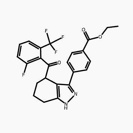 CCOC(=O)c1ccc(-c2n[nH]c3c2C(C(=O)c2c(F)cccc2C(F)(F)F)CCC3)cc1